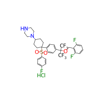 Cl.O=S(=O)(c1ccc(F)cc1)C1(c2ccc(C(OCc3c(F)cccc3F)(C(F)(F)F)C(F)(F)F)cc2)CCC(N2CCNCC2)CC1